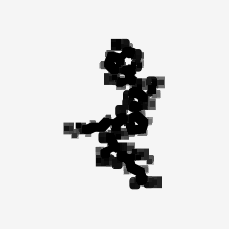 NCCCC[C@H](NC(=O)[C@H](CO)NC(=O)[C@@H](N)CCC(=O)O)C(=O)N1CCC[C@H]1C(=O)N[C@@H](CO)C(=O)N[C@@H](CS)C(=O)N1CCC[C@H]1C(=O)O